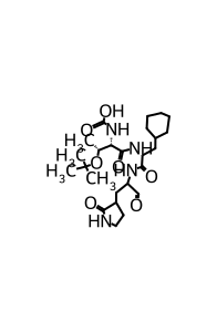 C[C@@H](OC(C)(C)C)[C@H](NC(=O)O)C(=O)NC(CC1CCCCC1)C(=O)NC(C=O)CC1CCNC1=O